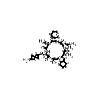 CCC[C@H]1C(=O)N[C@@H](C2CCCCCC2)C(=O)N[C@@H](CN)C(=O)N[C@@H](COC2CC3(CC(N)C3)C2)C(=O)N[C@H](C)CO[C@H](CC2CCCCC2)[C@@H](C)C(=O)N1C